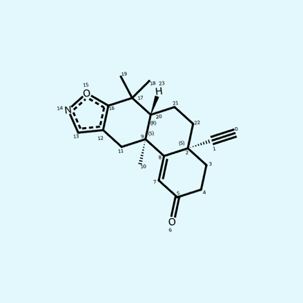 C#C[C@]12CCC(=O)C=C1[C@@]1(C)Cc3cnoc3C(C)(C)[C@@H]1CC2